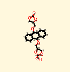 O=C1OCC(COc2c3ccccc3c(OCC3COC(O)O3)c3ccccc23)O1